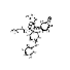 CCOC(=O)C1(N(C(=O)CC)c2cccc(Br)c2)CCN(Cc2ccccc2)CC1